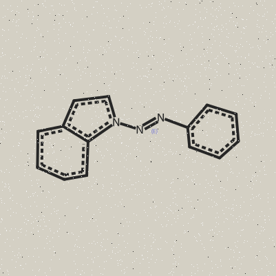 c1ccc(/N=N/n2ccc3ccccc32)cc1